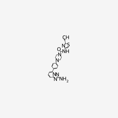 C#Cc1nc(NC(=O)N2CCN(c3ccc(-c4cccc5nc(N)nn45)cc3)CC2)cs1